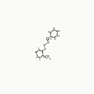 FC(F)(F)c1ccccc1CCCOc1ccccc1